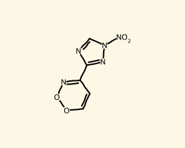 O=[N+]([O-])n1cnc(C2=NOOC=C2)n1